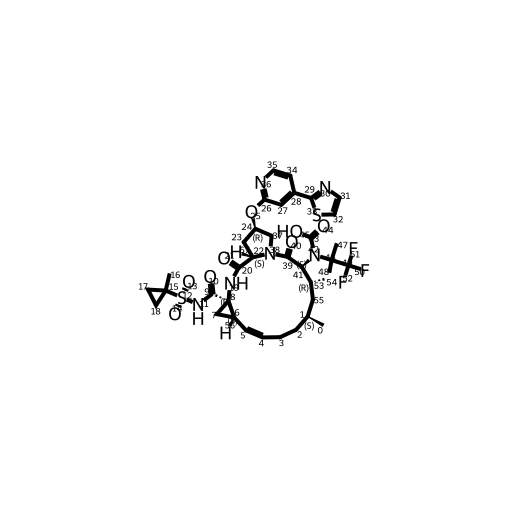 C[C@H]1CCC=C[C@@H]2C[C@@]2(C(=O)NS(=O)(=O)C2(C)CC2)NC(=O)[C@@H]2C[C@@H](Oc3cc(-c4nccs4)ccn3)CN2C(=O)[C@@H](N(C(=O)O)C(C)(C)C(F)(F)F)[C@H](C)C1